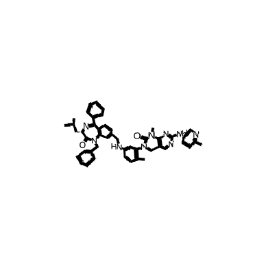 Cc1ccc(Nc2ncc3c(n2)N(C)C(=O)N(c2cc(NCc4ccc5c(c4)N(Cc4ccccc4)C(=O)[C@H](CC(C)C)N=C5c4ccccc4)ccc2C)C3)cn1